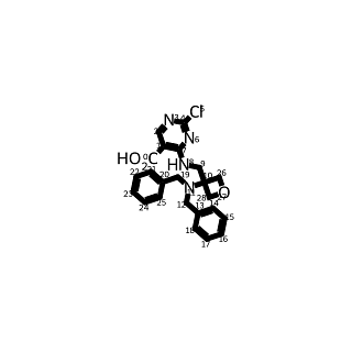 O=C(O)c1cnc(Cl)nc1NCC1(N(Cc2ccccc2)Cc2ccccc2)COC1